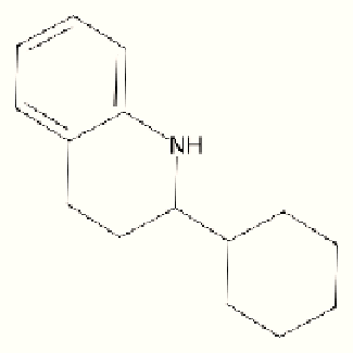 c1ccc2c(c1)CCC(C1CCCCC1)N2